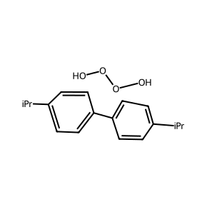 CC(C)c1ccc(-c2ccc(C(C)C)cc2)cc1.OOOO